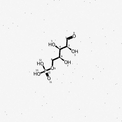 O=C[C@@H](O)[C@H](O)[C@@H](O)COP(=O)(O)O